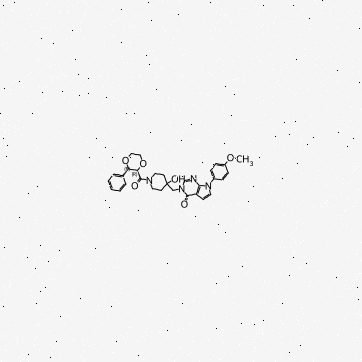 COc1ccc(-n2ccc3c(=O)n(CC4(O)CCN(C(=O)[C@@H]5OCCO[C@@H]5c5ccccc5)CC4)cnc32)cc1